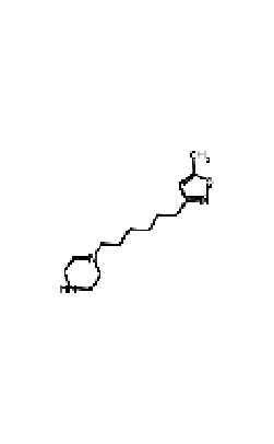 Cc1cc(CCCCCCN2CCNCC2)no1